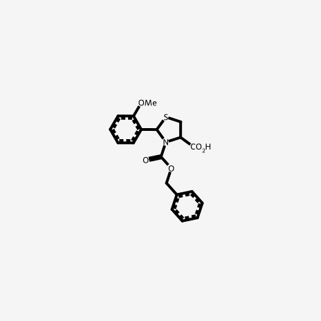 COc1ccccc1C1SCC(C(=O)O)N1C(=O)OCc1ccccc1